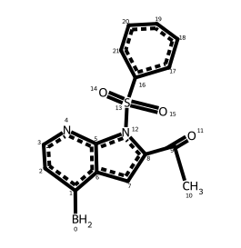 Bc1ccnc2c1cc(C(C)=O)n2S(=O)(=O)c1ccccc1